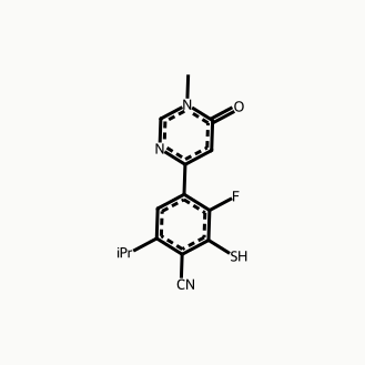 CC(C)c1cc(-c2cc(=O)n(C)cn2)c(F)c(S)c1C#N